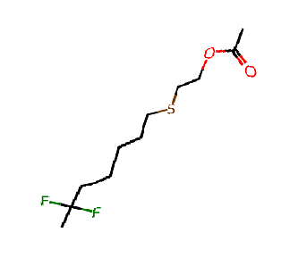 CC(=O)OCCSCCCCCC(C)(F)F